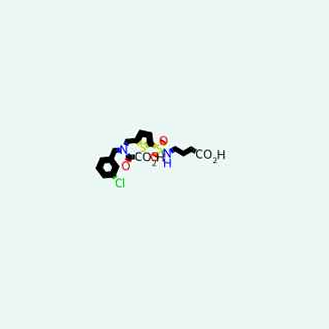 O=C(O)CCCNS(=O)(=O)c1ccc(CN(Cc2cccc(Cl)c2)C(=O)C(=O)O)s1